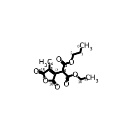 CCCOC(=O)C(C(=O)OCC)C1=C(C)C(=O)OC1=O